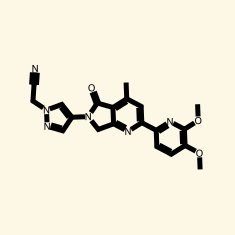 COc1ccc(-c2cc(C)c3c(n2)CN(c2cnn(CC#N)c2)C3=O)nc1OC